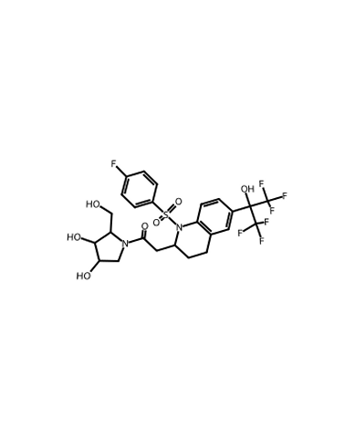 O=C(CC1CCc2cc(C(O)(C(F)(F)F)C(F)(F)F)ccc2N1S(=O)(=O)c1ccc(F)cc1)N1CC(O)C(O)C1CO